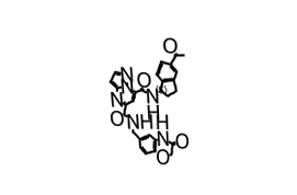 CC(=O)c1ccc2c(c1)CC[C@@H]2NC(=O)c1cc(C(=O)NCc2ccc3c(c2)NC(=O)CO3)nc2ccnn12